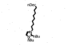 CCCCCCCCCCCCCCCCCCCn1cc[n+](CCCC)c1CCCC